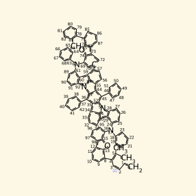 C=C/C=C\C(=C(C)C)c1cccc2c1oc1c(N(c3ccccc3)c3cccc4c3c3cccc5c6c(-c7ccccc7)c7c(c(-c8ccccc8)c6n4c35)c3cccc4c5c(N(c6ccccc6)c6cccc8c6oc6c(-c9ccccc9C)cccc68)cccc5n7c43)cccc12